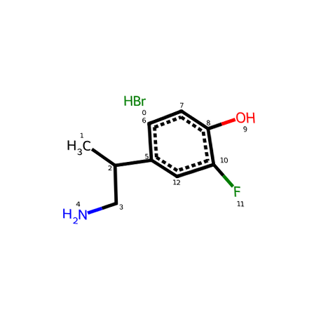 Br.CC(CN)c1ccc(O)c(F)c1